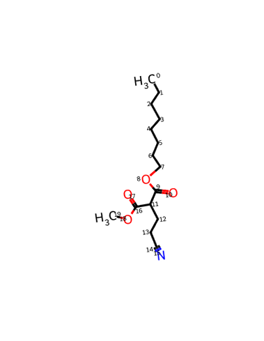 CCCCCCCCOC(=O)C(CCC#N)C(=O)OC